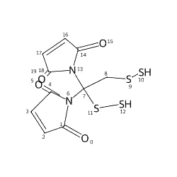 O=C1C=CC(=O)N1C(CSS)(SS)N1C(=O)C=CC1=O